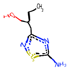 C[C](O)c1nsc(N)n1